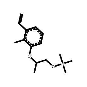 C=Cc1cccc(OC(C)CO[Si](C)(C)C)c1C